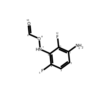 Nc1ccc(F)c(NOC=O)c1F